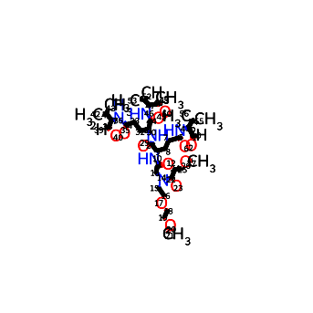 [2H]C(=O)C(NC(=O)CCC(NC(=O)CN(CCOCCOC)C(=O)CCOC)C(=O)NC(CCC(=O)NC(C([2H])=O)C(C)C)C(=O)NC(C(C)=O)C(C)C)C(C)C